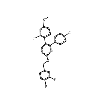 CSc1ccc(-c2cnc(OCc3ccc(F)c(F)c3)nc2-c2ccc(Cl)cc2)c(Cl)c1